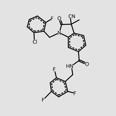 CC1(C#N)C(=O)N(Cc2c(F)cccc2Cl)c2cc(C(=O)NCc3c(F)cc(F)cc3F)ccc21